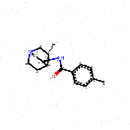 Cc1ccc(C(=O)N[C@@H]2CN3CCC2CC3)cc1